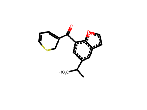 CC(C(=O)O)c1cc(C(=O)C2=CC=CSC2)c2occc2c1